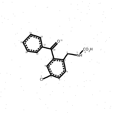 O=C(O)NCc1ccc(Cl)cc1C(=O)c1ccccc1